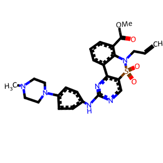 C=CCN1c2c(C(=O)OC)cccc2-c2nc(Nc3ccc(N4CCN(C)CC4)cc3)ncc2S1(=O)=O